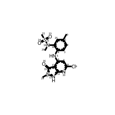 Cc1ccc(Nc2cc(Cl)nc3[nH]n(C)c(=O)c23)c(N(C)S(C)(=O)=O)c1